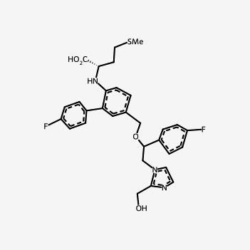 CSCC[C@H](Nc1ccc(COC(Cn2ccnc2CO)c2ccc(F)cc2)cc1-c1ccc(F)cc1)C(=O)O